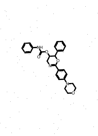 O=C(Nc1ccccc1)OC1CN=C(c2ccc(N3CCOCC3)cc2)OC1c1ccccc1